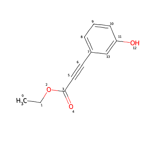 CCOC(=O)C#Cc1cccc(O)c1